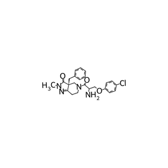 CN1N=C2CCN(C(=O)C(N)COc3ccc(Cl)cc3)C[C@@]2(Cc2ccccc2)C1=O